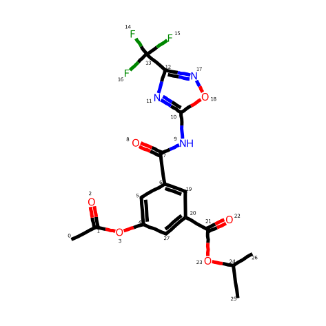 CC(=O)Oc1cc(C(=O)Nc2nc(C(F)(F)F)no2)cc(C(=O)OC(C)C)c1